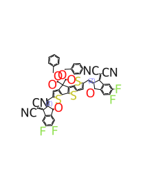 N#CC(C#N)=C1/C(=C/c2cc3c(s2)-c2sc4cc(/C=C5\C(=O)c6cc(F)c(F)cc6C5=C(C#N)C#N)sc4c2C3(C(=O)OCc2ccccc2)C(=O)OCc2ccccc2)C(=O)c2cc(F)c(F)cc21